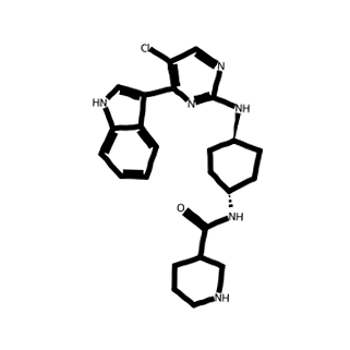 O=C(N[C@H]1CC[C@H](Nc2ncc(Cl)c(-c3c[nH]c4ccccc34)n2)CC1)C1CCCNC1